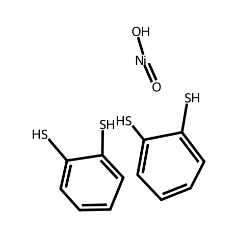 Sc1ccccc1S.Sc1ccccc1S.[O]=[Ni][OH]